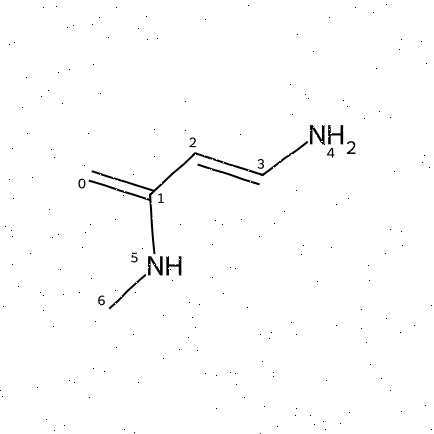 C=C(/C=C/N)NC